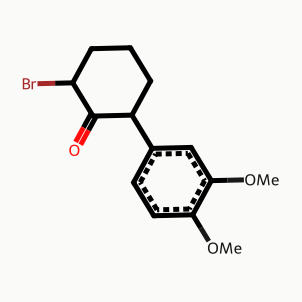 COc1ccc(C2CCCC(Br)C2=O)cc1OC